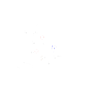 CCCSCC(C)N(C)C(=O)OC(C)(C)C